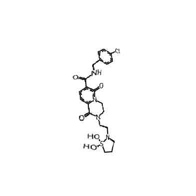 O=C(NCc1ccc(Cl)cc1)c1ccc2n(c1=O)CCN(CCN1CCCS1(O)O)C2=O